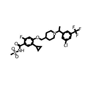 CC(c1cc(Cl)cc(C(F)(F)F)c1)N1CCC(COc2cc(F)c(C(=O)NS(C)(=O)=O)cc2C2CC2)CC1